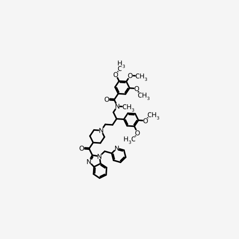 COc1ccc(C(CCN2CCC(C(=O)c3nc4ccccc4n3Cc3ccccn3)CC2)CN(C)C(=O)c2cc(OC)c(OC)c(OC)c2)cc1OC